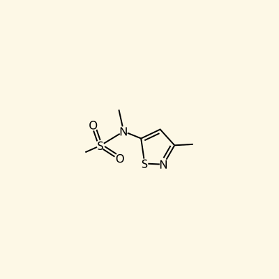 Cc1cc(N(C)S(C)(=O)=O)sn1